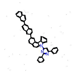 c1ccc(-c2cc(-n3c4ccccc4c4c5cc(-c6ccc7cc(-c8ccc9ccccc9c8)ccc7c6)ccc5ccc43)nc(-c3ccccc3)n2)cc1